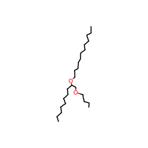 CCCCCCCCCCCCOC(CCCCCCCC)COCCCC